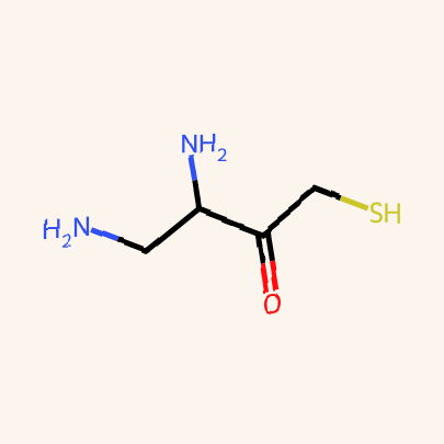 NCC(N)C(=O)CS